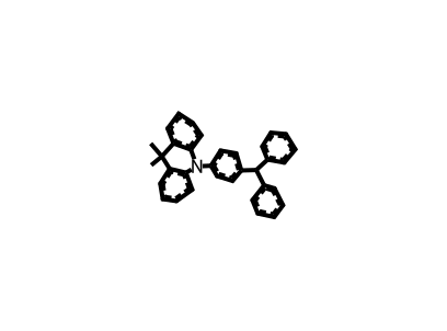 CC1(C)c2ccccc2N(c2ccc(C(c3ccccc3)c3ccccc3)cc2)c2ccccc21